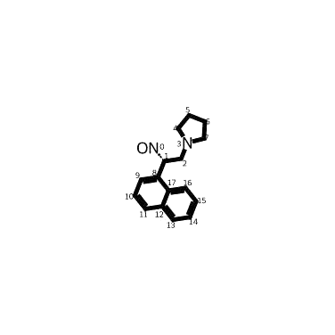 O=N[C@H](CN1CCCC1)c1cccc2ccccc12